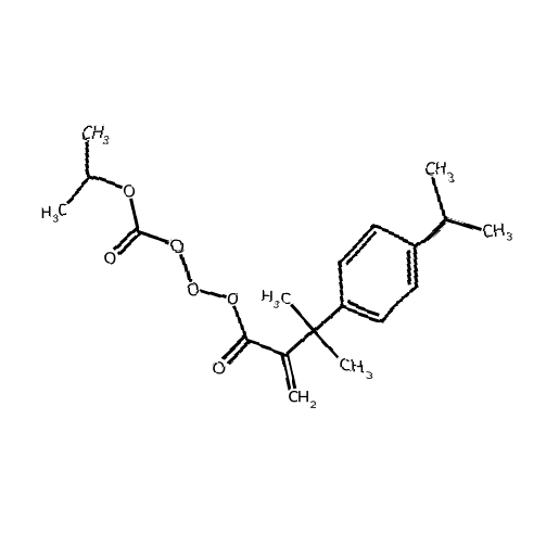 C=C(C(=O)OOOC(=O)OC(C)C)C(C)(C)c1ccc(C(C)C)cc1